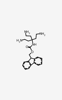 NCCC(CCN)(CCN)NC(=O)OCC1c2ccccc2-c2ccccc21